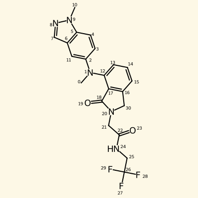 CN(c1ccc2c(cnn2C)c1)c1cccc2c1C(=O)N(CC(=O)NCC(F)(F)F)C2